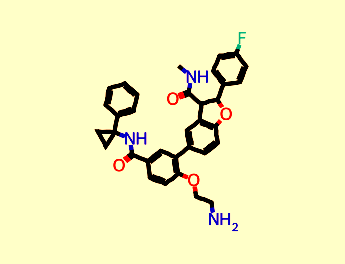 CNC(=O)C1c2cc(-c3cc(C(=O)NC4(c5ccccc5)CC4)ccc3OCCN)ccc2OC1c1ccc(F)cc1